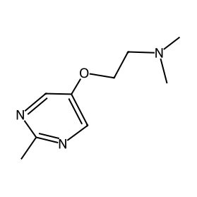 Cc1ncc(OCCN(C)C)cn1